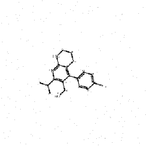 CC(C)c1nc2c(c(-c3ccc(F)cc3)c1CO)CCCN2